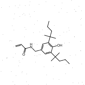 C=CC(=O)NCc1cc(C(C)(C)CCC)c(O)c(C(C)(C)CCC)c1